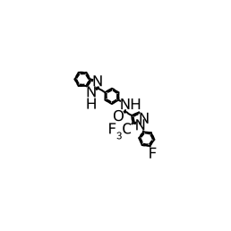 O=C(Nc1ccc(-c2nc3ccccc3[nH]2)cc1)c1cnn(-c2ccc(F)cc2)c1C(F)(F)F